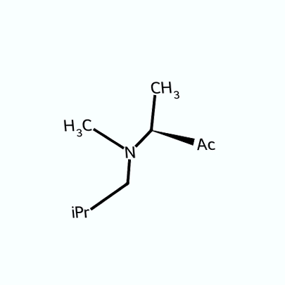 CC(=O)[C@H](C)N(C)CC(C)C